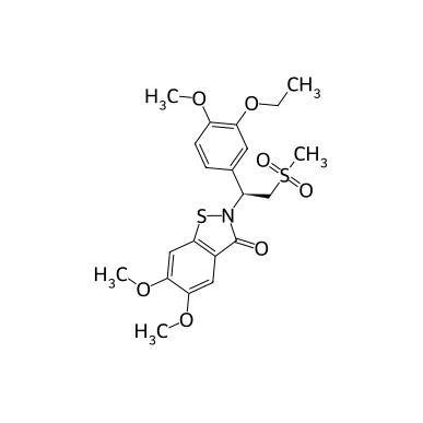 CCOc1cc([C@@H](CS(C)(=O)=O)n2sc3cc(OC)c(OC)cc3c2=O)ccc1OC